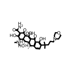 C[C@H]1c2ccc(C(C)(C)CCCN3CCOCC3)c(O)c2C(=O)C2=C(O)[C@]3(O)C(=O)C(C(N)=O)=C(O)[C@@H](N(C)C)[C@@H]3[C@@H](O)[C@@H]21